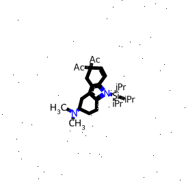 CC(=O)C1(C(C)=O)C=Cc2c(c3c(n2[Si](C(C)C)(C(C)C)C(C)C)CCC(N(C)C)C3)C1